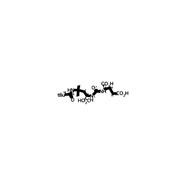 CC(C)(C[C@H](NC(=O)N[C@@H](CCC(=O)O)C(=O)O)C(=O)O)NC(=O)C(C)(C)C